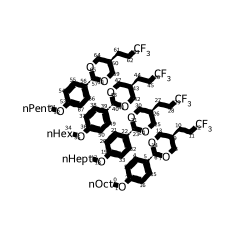 CCCCCCCCOc1ccc([C@H]2OC[C@H](CCC(F)(F)F)CO2)cc1.CCCCCCCOc1ccc([C@H]2OC[C@H](CCC(F)(F)F)CO2)cc1.CCCCCCOc1ccc([C@H]2OC[C@H](CCC(F)(F)F)CO2)cc1.CCCCCOc1ccc([C@H]2OC[C@H](CCC(F)(F)F)CO2)cc1